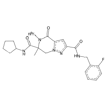 CCCN1C(=O)c2cc(C(=O)NCc3ccccc3F)nn2CC1(C)C(=O)NC1CCCC1